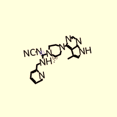 Cc1c[nH]c2ncnc(N3CCN(/C(=N/C#N)NCc4ccccn4)[C@@H](C)C3)c12